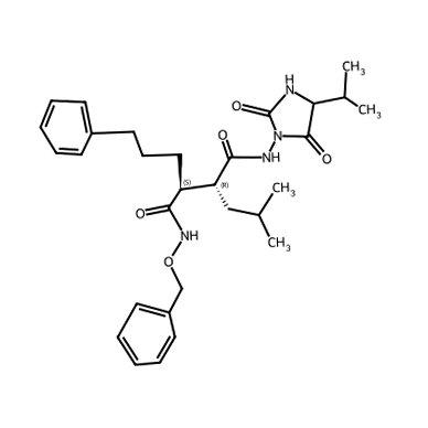 CC(C)C[C@@H](C(=O)NN1C(=O)NC(C(C)C)C1=O)[C@H](CCCc1ccccc1)C(=O)NOCc1ccccc1